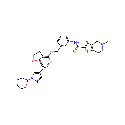 CN1CCc2sc(C(=O)Nc3cccc(CNc4ncc(-c5cnn(C6CCCCO6)c5)c5c4CCO5)c3)nc2C1